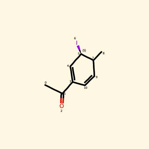 CC(=O)C1=C[C@@H](I)C(C)C=C1